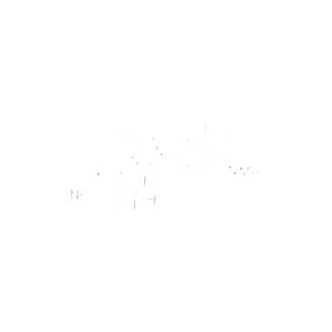 [2H]C([2H])([2H])c1cc(C#N)ccc1N1C(=O)C2(CCC2)N(c2ccc(C(=O)NC)c(F)c2)C1=S